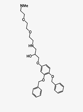 CNCCOCCOCCNCC(O)COc1ccc(OCc2ccccc2)c(OCc2ccccc2)c1